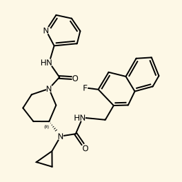 O=C(Nc1ccccn1)N1CCC[C@@H](N(C(=O)NCc2cc3ccccc3cc2F)C2CC2)C1